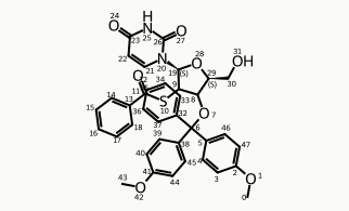 COc1ccc(C(OC2C(SC(=O)c3ccccc3)[C@@H](n3ccc(=O)[nH]c3=O)O[C@H]2CO)(c2ccccc2)c2ccc(OC)cc2)cc1